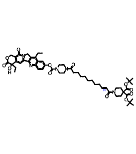 CCc1c2c(nc3ccc(OC(=O)N4CCN(C(=O)CCCCCCCC/C=C/C(=O)N5CCC(C(=O)OC(C)(C)C)(C(=O)OC(C)(C)C)CC5)CC4)cc13)-c1cc3c(c(=O)n1C2)COC(=O)[C@]3(O)CC